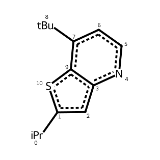 CC(C)c1cc2nccc(C(C)(C)C)c2s1